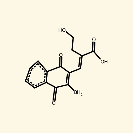 BC1=C(/C=C(\CCO)C(=O)O)C(=O)c2ccccc2C1=O